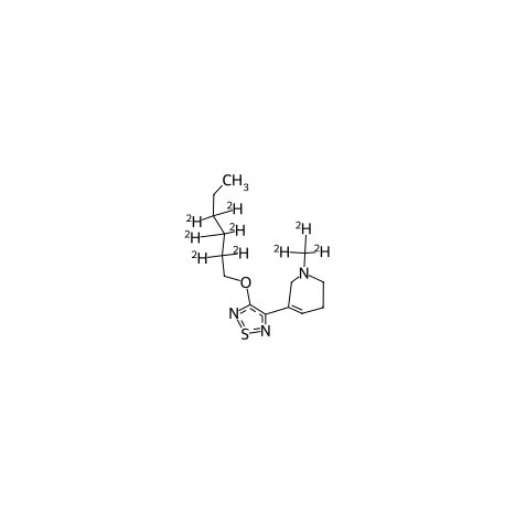 [2H]C([2H])([2H])N1CCC=C(c2nsnc2OCC([2H])([2H])C([2H])([2H])C([2H])([2H])CC)C1